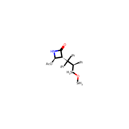 CC(=O)O[C@H]1NC(=O)[C@@H]1C(C(C)C)(C(C)C)[C@H]([SiH2]O[SiH3])C(C)C